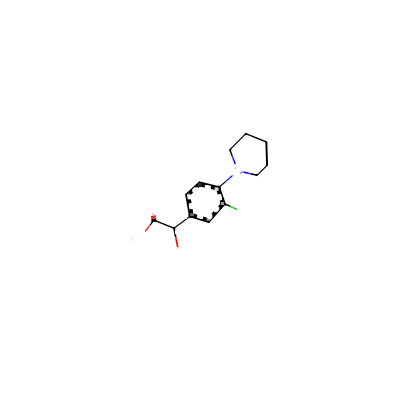 O=C(O)C(O)c1ccc(N2CCCCC2)c(Cl)c1